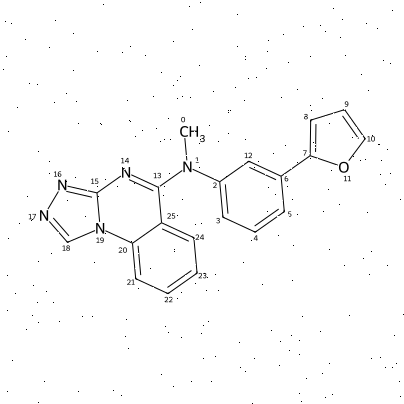 CN(c1cccc(-c2ccco2)c1)c1nc2nncn2c2ccccc12